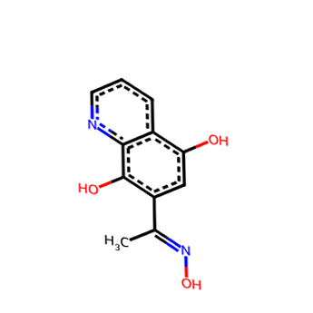 CC(=NO)c1cc(O)c2cccnc2c1O